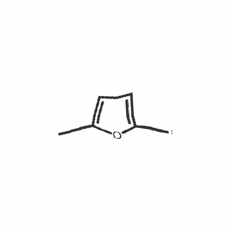 [CH]c1ccc(C)o1